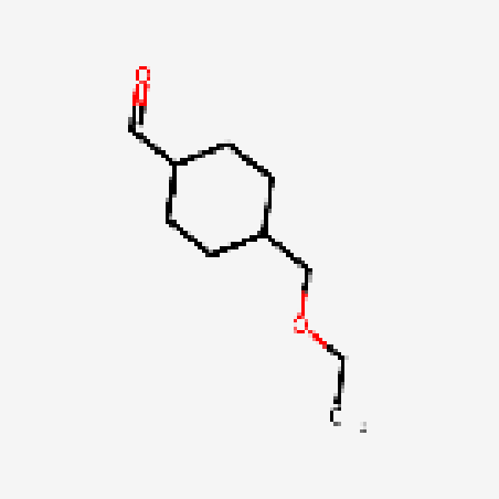 CCOCC1CCC(C=O)CC1